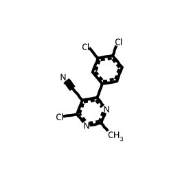 Cc1nc(Cl)c(C#N)c(-c2ccc(Cl)c(Cl)c2)n1